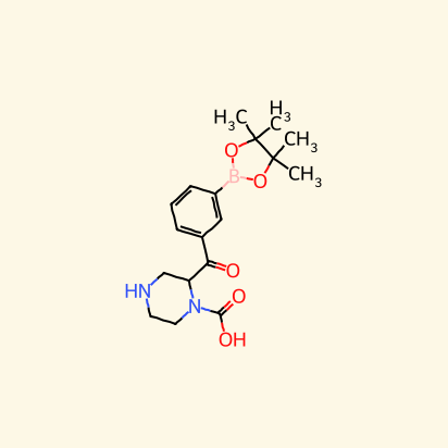 CC1(C)OB(c2cccc(C(=O)C3CNCCN3C(=O)O)c2)OC1(C)C